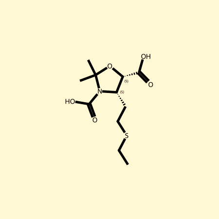 CCSCC[C@H]1[C@@H](C(=O)O)OC(C)(C)N1C(=O)O